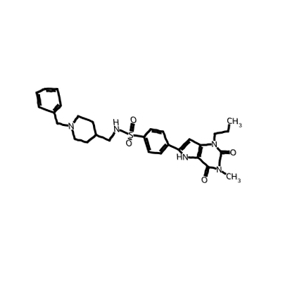 CCCn1c(=O)n(C)c(=O)c2[nH]c(-c3ccc(S(=O)(=O)NCC4CCN(Cc5ccccc5)CC4)cc3)cc21